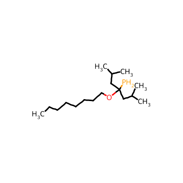 CCCCCCCCOC(P)(CC(C)C)CC(C)C